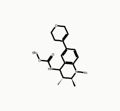 CC(=O)N1c2ccc(C3=CCOCC3)cc2C(NC(=O)OC(C)(C)C)[C@@H](C)[C@@H]1C